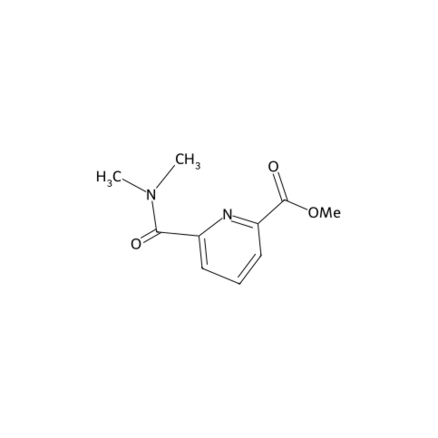 COC(=O)c1cccc(C(=O)N(C)C)n1